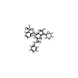 Cc1nc2c(Nc3ccccc3S(C)(=O)=O)cc(NCc3ccccc3)nc2n1C1CCCCO1